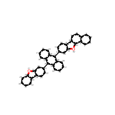 c1ccc2c(c1)ccc1c3ccc(-c4c5ccccc5c(-c5ccc6c(c5)oc5ccccc56)c5ccccc45)cc3oc21